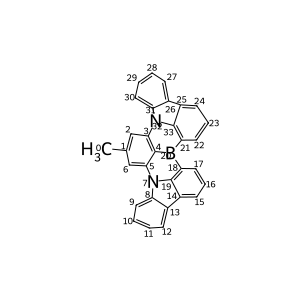 Cc1cc2c3c(c1)-n1c4ccccc4c4cccc(c41)B3c1cccc3c4ccccc4n-2c13